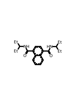 CCC(CC)NC(=O)c1ccc(C(=O)NC(CC)CC)c2ccccc12